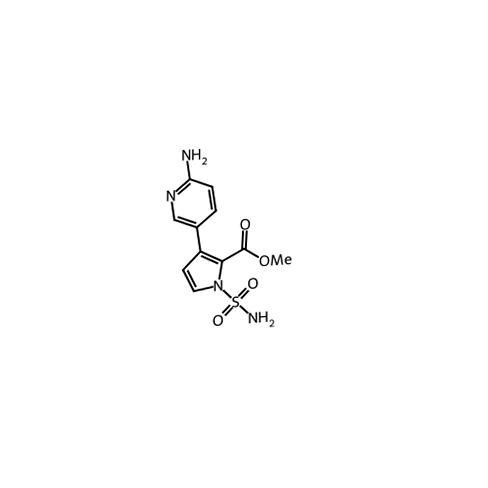 COC(=O)c1c(-c2ccc(N)nc2)ccn1S(N)(=O)=O